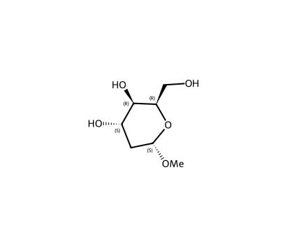 CO[C@@H]1C[C@H](O)[C@@H](O)[C@@H](CO)O1